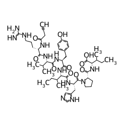 C#CCC(=O)N[C@@H](CCCNC(=N)N)C(=O)N[C@H](C(=O)N[C@@H](Cc1ccc(O)cc1)C(=O)N[C@H](C(=O)N[C@@H](Cc1cnc[nH]1)C(=O)N1CCC[C@H]1C(=O)N[C@H](C(=O)O)C(C)CC)C(C)CC)C(C)C